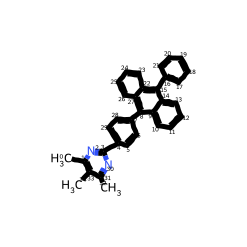 Cc1nc(-c2ccc(-c3c4ccccc4c(-c4ccccc4)c4ccccc34)cc2)nc(C)c1C